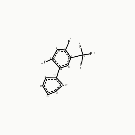 Fc1cc(F)c(C(F)(F)F)cc1-c1ccccn1